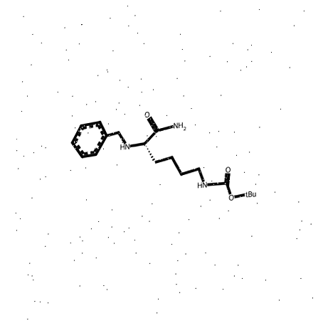 CC(C)(C)OC(=O)NCCCC[C@H](NCc1ccccc1)C(N)=O